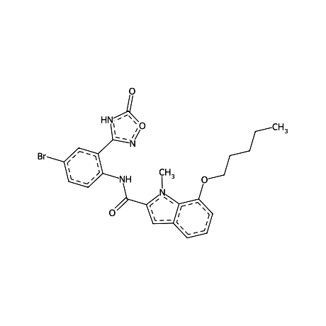 CCCCCOc1cccc2cc(C(=O)Nc3ccc(Br)cc3-c3noc(=O)[nH]3)n(C)c12